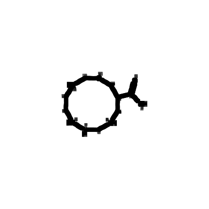 O=C(O)C1CNCNNCCNCOC1